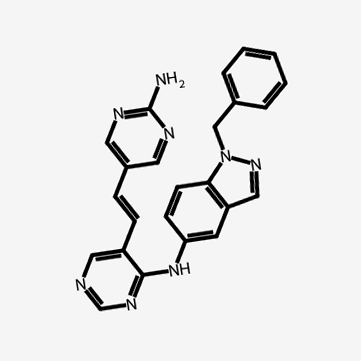 Nc1ncc(C=Cc2cncnc2Nc2ccc3c(cnn3Cc3ccccc3)c2)cn1